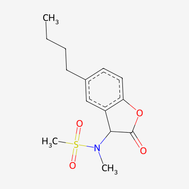 CCCCc1ccc2c(c1)C(N(C)S(C)(=O)=O)C(=O)O2